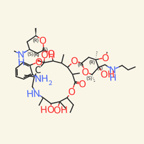 CCCNC[C@]1(O)[C@H](C)O[C@@H](OC2C(C)C(=O)OC(CC)C(C)(O)C(O)C(C)NCC(C)CC(C)(O)C(O[C@@H]3O[C@H](C)C[C@H](NC)[C@H]3Oc3ccccc3N)C2C)C[C@@]1(C)OC